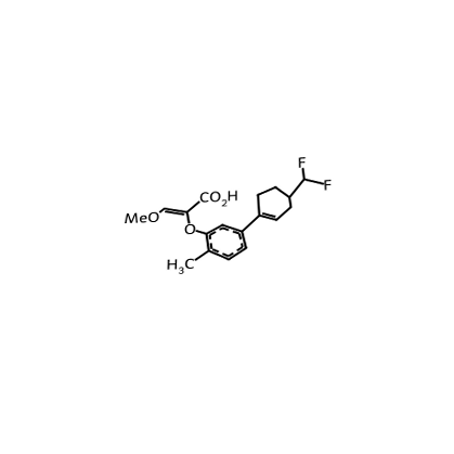 CO/C=C(\Oc1cc(C2=CCC(C(F)F)CC2)ccc1C)C(=O)O